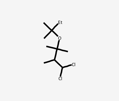 CCC(C)(C)OC(C)(C)C(C)C(Cl)Cl